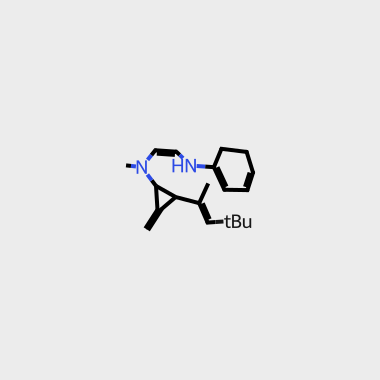 C=C1C(/C(C)=C/C(C)(C)C)C1N(C)/C=C\NC1=CC=CCC1